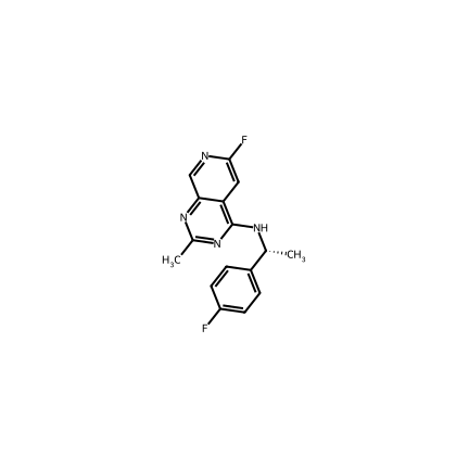 Cc1nc(N[C@H](C)c2ccc(F)cc2)c2cc(F)ncc2n1